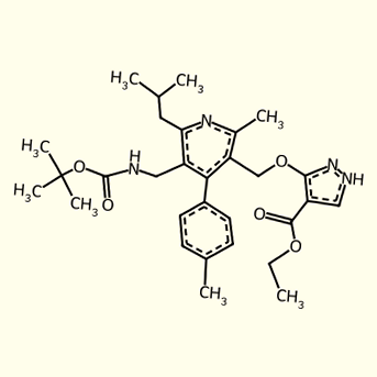 CCOC(=O)c1c[nH]nc1OCc1c(C)nc(CC(C)C)c(CNC(=O)OC(C)(C)C)c1-c1ccc(C)cc1